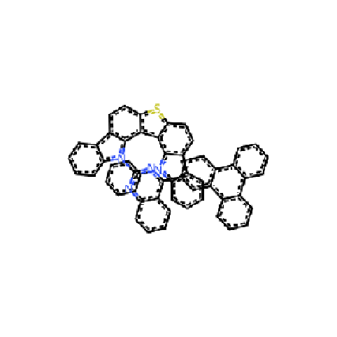 c1ccc(-n2c3ccccc3c3ccc4sc5ccc6c7ccccc7n(-c7nc(-c8ccc9c%10ccccc%10c%10ccccc%10c9c8)c8ccccc8n7)c6c5c4c32)cc1